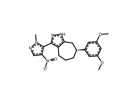 COc1cc(OC)cc([C@H]2CCCc3c(-c4c([N+](=O)[O-])cnn4C)n[nH]c3C2)c1